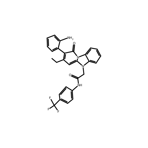 CCc1cc2n(CC(=O)Nc3ccc(C(F)(F)F)cc3)c3ccccc3n2c(=O)c1-c1ccccc1N